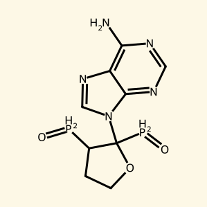 Nc1ncnc2c1ncn2C1([PH2]=O)OCCC1[PH2]=O